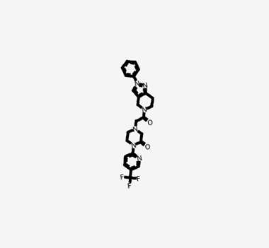 O=C(CN1CCN(c2ccc(C(F)(F)F)cn2)C(=O)C1)N1CCc2nn(-c3ccccc3)cc2C1